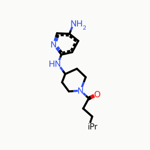 CC(C)CCC(=O)N1CCC(Nc2ccc(N)cn2)CC1